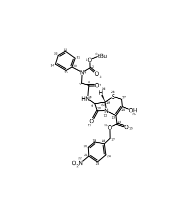 CC(C)(C)OC(=O)N(CC(=O)NC1C(=O)N2C(C(=O)OCc3ccc([N+](=O)[O-])cc3)=C(O)CS[C@@H]12)c1ccccc1